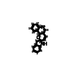 C1=CC2(Cc3ccccc3N2)Oc2c1cnc1ccccc21